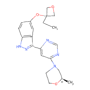 CCC1(Oc2ccc3[nH]nc(-c4cc(N5CCO[C@H](C)C5)ncn4)c3c2)COC1